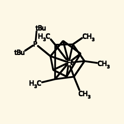 CC(C)(C)P(C(C)(C)C)[C]12[CH]3[CH]4[CH]5[CH]1[Fe]45321678[C]2(C)[C]1(C)[C]6(C)[C]7(C)[C]28C